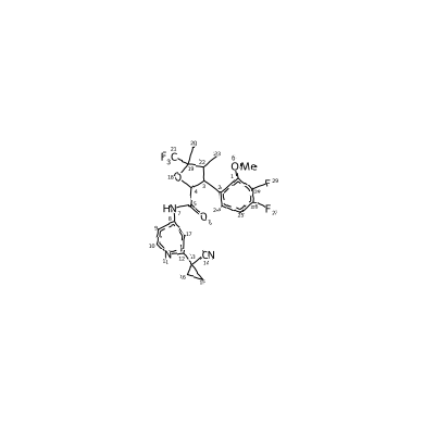 COc1c(C2C(C(=O)Nc3ccnc(C4(C#N)CC4)c3)OC(C)(C(F)(F)F)C2C)ccc(F)c1F